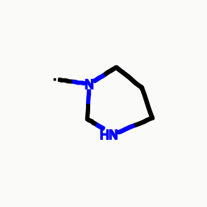 [CH2]N1CCCNC1